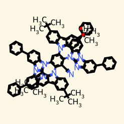 CC(C)(C)c1ccc2c(c1)c1cc(C(C)(C)C)ccc1n2-c1cc(-n2c3ccc(-c4ccccc4)cc3n3c4cc(-c5ccccc5)ccc4nc23)c(-n2c3ccc(C(C)(C)C)cc3c3cc(C(C)(C)C)ccc32)c(C#N)c1-n1c2ccc(-c3ccccc3)cc2n2c3cc(-c4ccccc4)ccc3nc12